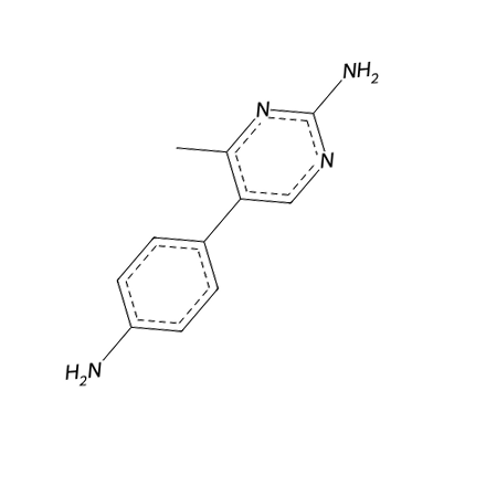 Cc1nc(N)ncc1-c1ccc(N)cc1